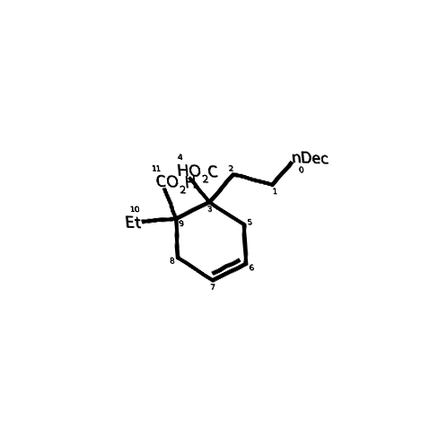 CCCCCCCCCCCCC1(C(=O)O)CC=CCC1(CC)C(=O)O